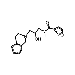 O=C(NCC(O)CN1CCc2ccccc2C1)c1ccon1